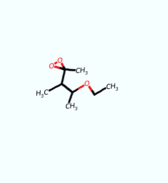 CCOC(C)C(C)C1(C)OO1